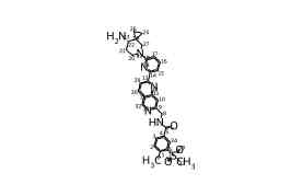 Cc1ccc(C(=O)NCc2cc3nc(-c4cccc(N5CC[C@H](N)C6(CC6)C5)n4)ccc3cn2)cc1S(C)(=O)=O